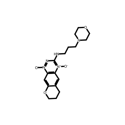 [O-][n+]1nc(NCCCN2CCOCC2)[n+]([O-])c2cc3c(cc21)OCCC3